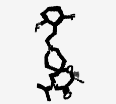 CC(C)N1CC2(CCN(CCc3c(F)cccc3F)CC2)O[C@H](C)C1=O